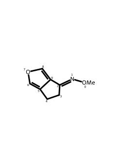 CON=C1CCc2cocc21